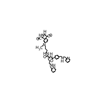 CCN(CCCCNC(=O)[C@H](CCCNCc1ccccn1)NC(=O)c1ccc(CNCc2ccccn2)cc1)c1ccc2c(c1)C(=C=O)NNC2=C=O